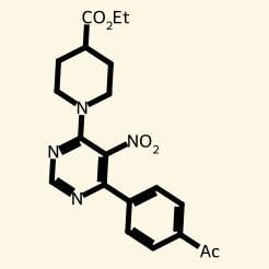 CCOC(=O)C1CCN(c2ncnc(-c3ccc(C(C)=O)cc3)c2[N+](=O)[O-])CC1